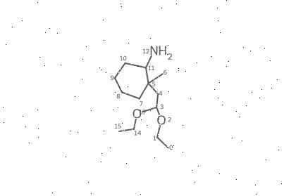 CCOC(CC1(C)CCCCC1N)OCC